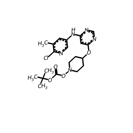 Cc1cc(Nc2cc(OC3CCN(OC(=O)OC(C)(C)C)CC3)ncn2)cnc1Cl